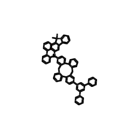 CC1(C)c2ccccc2-c2cc(N(c3ccc4c(c3)Cc3ccccc3-c3ccc(-c5cc(-c6ccccc6)cc(-c6ccccc6)c5)cc3Cc3ccccc3-4)c3ccccc3-c3ccccc3)ccc21